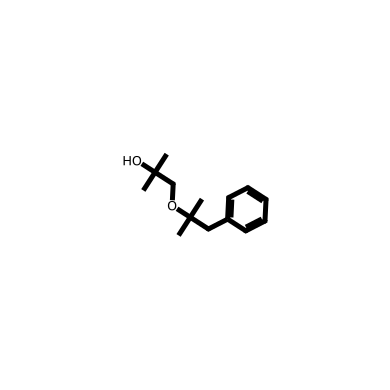 CC(C)(O)COC(C)(C)Cc1ccccc1